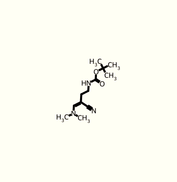 CN(C)/C=C(\C#N)CCNC(=O)OC(C)(C)C